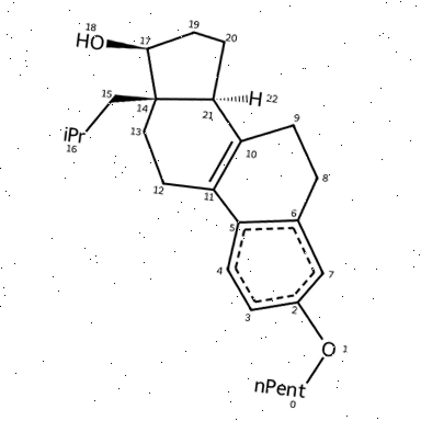 CCCCCOc1ccc2c(c1)CCC1=C2CC[C@]2(CC(C)C)[C@@H](O)CC[C@@H]12